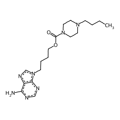 CCCCN1CCN(C(=O)OCCCCn2cnc3c(N)ncnc32)CC1